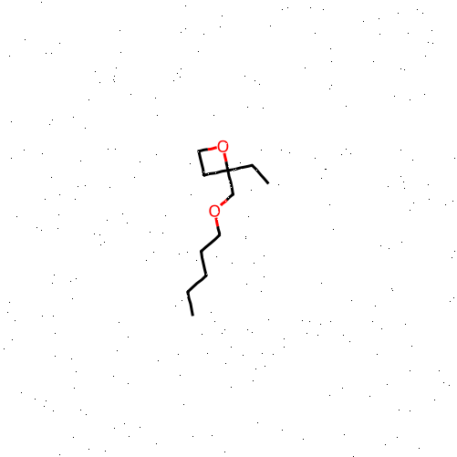 CCCCCOCC1(CC)CCO1